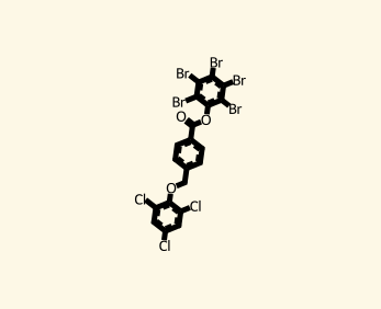 O=C(Oc1c(Br)c(Br)c(Br)c(Br)c1Br)c1ccc(COc2c(Cl)cc(Cl)cc2Cl)cc1